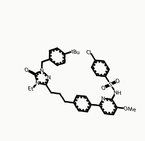 CCn1c(CCCc2ccc(-c3ccc(OC)c(NS(=O)(=O)c4ccc(Cl)cc4)n3)cc2)nn(Cc2ccc(C(C)(C)C)cc2)c1=O